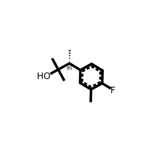 Cc1cc([C@@H](C)C(C)(C)O)ccc1F